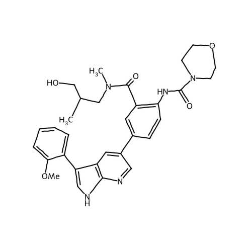 COc1ccccc1-c1c[nH]c2ncc(-c3ccc(NC(=O)N4CCOCC4)c(C(=O)N(C)CC(C)CO)c3)cc12